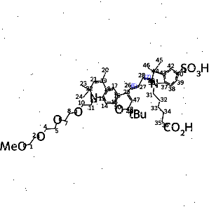 COCCOCCOCCOCCN1c2cc3c(cc2C(C)=CC1(C)C)C(/C=C/C=C1\N(CCCCCC(=O)O)c2ccc(S(=O)(=O)O)cc2C1(C)C)=CC(C(C)(C)C)O3